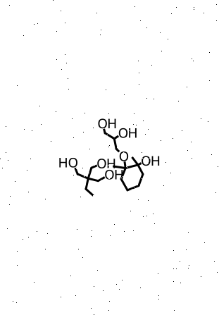 CC1(O)CCCCC1(C)OCC(O)CO.CCC(CO)(CO)CO